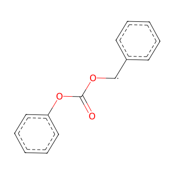 O=C(O[CH]c1ccccc1)Oc1ccccc1